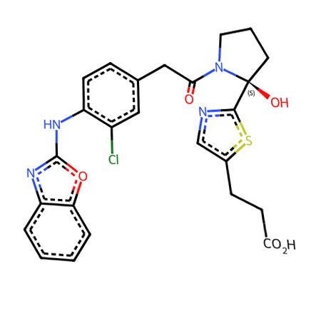 O=C(O)CCc1cnc([C@@]2(O)CCCN2C(=O)Cc2ccc(Nc3nc4ccccc4o3)c(Cl)c2)s1